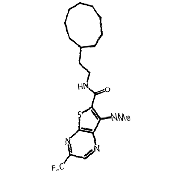 CNc1c(C(=O)NCCC2CCCCCCCC2)sc2nc(C(F)(F)F)cnc12